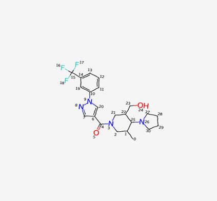 CC1CN(C(=O)c2cnn(-c3cccc(C(F)(F)F)c3)c2)CC(CO)C1N1CCCC1